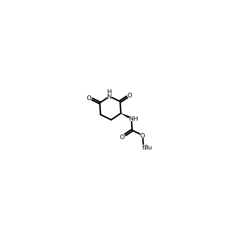 CC(C)(C)OC(=O)N[C@H]1CCC(=O)NC1=O